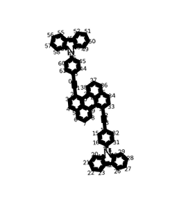 C(#Cc1ccc2cccc3c4c(C#Cc5ccc(-n6c7ccccc7c7ccccc76)cc5)ccc5cccc(c1c23)c54)c1ccc(-n2c3ccccc3c3ccccc32)cc1